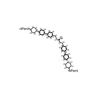 CCCCCC1CCC(c2ccc(-c3ccc(CCC(=O)CCc4ccc(-c5ccc([C@H]6CC[C@H](CCCCC)CC6)cc5)cc4)cc3)cc2)CC1